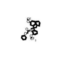 O=C(COc1ccccc1)NCC(Cc1ccccc1)(c1cccc(OC(F)(F)F)c1)c1cccc(OC(F)(F)F)c1